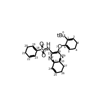 CC(C)(C)C1=CCCC=C1Oc1nc2c(nc1NS(=O)(=O)C1=CCCC=C1)C=CCC2